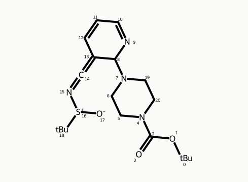 CC(C)(C)OC(=O)N1CCN(C2N=CC=CC2=C=N[S+]([O-])C(C)(C)C)CC1